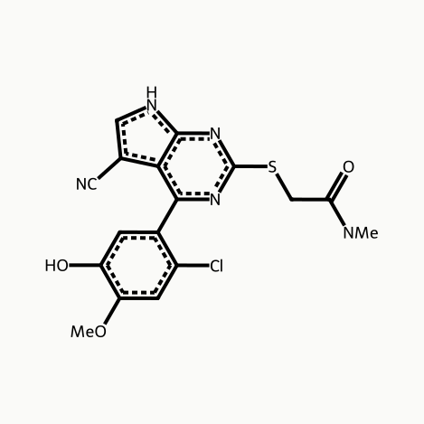 CNC(=O)CSc1nc(-c2cc(O)c(OC)cc2Cl)c2c(C#N)c[nH]c2n1